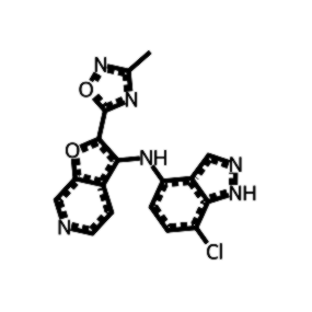 Cc1noc(-c2oc3cnccc3c2Nc2ccc(Cl)c3[nH]ncc23)n1